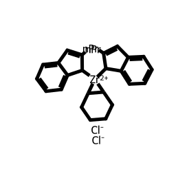 CCCC1=Cc2ccccc2[CH]1[Zr+2]1([CH]2C(CCC)=Cc3ccccc32)[CH]2CCCC[CH]21.[Cl-].[Cl-]